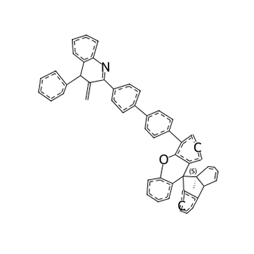 C=C1C(c2ccc(-c3ccc(-c4cccc5c4Oc4ccccc4C54c5ccccc5C5C=CC=C[C@@]54C)cc3)cc2)=Nc2ccccc2C1c1ccccc1